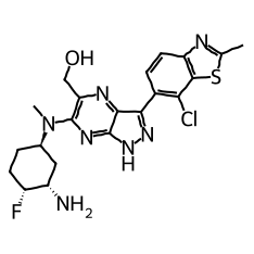 Cc1nc2ccc(-c3n[nH]c4nc(N(C)[C@@H]5CC[C@@H](F)[C@@H](N)C5)c(CO)nc34)c(Cl)c2s1